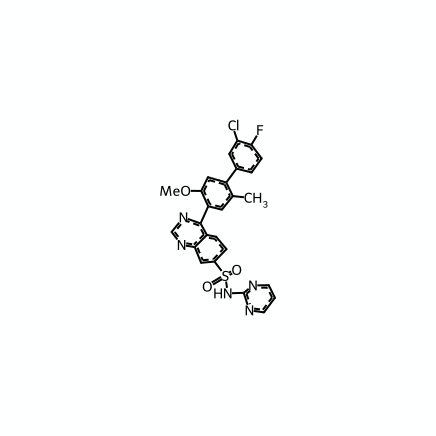 COc1cc(-c2ccc(F)c(Cl)c2)c(C)cc1-c1ncnc2cc(S(=O)(=O)Nc3ncccn3)ccc12